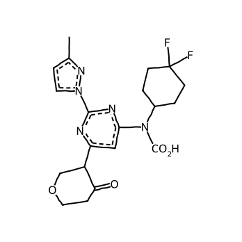 Cc1ccn(-c2nc(C3COCCC3=O)cc(N(C(=O)O)C3CCC(F)(F)CC3)n2)n1